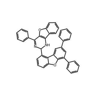 c1ccc(C2=NC(c3cccc4oc5c(-c6ccccc6)cc(-c6ccccc6)cc5c34)Nc3c2oc2ccccc32)cc1